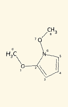 COc1cccn1OC